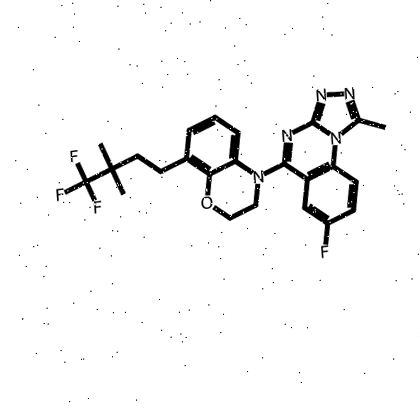 Cc1nnc2nc(N3CCOc4c(CCC(C)(C)C(F)(F)F)cccc43)c3cc(F)ccc3n12